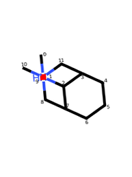 CNC1C2CCCC1CN(C)C2